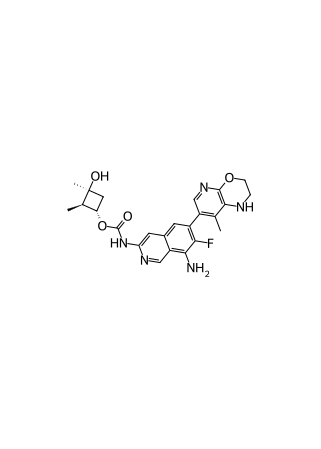 Cc1c(-c2cc3cc(NC(=O)O[C@H]4C[C@](C)(O)[C@@H]4C)ncc3c(N)c2F)cnc2c1NCCO2